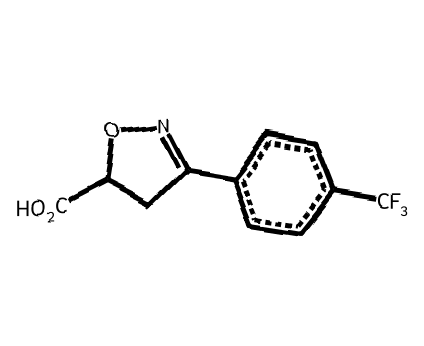 O=C(O)C1CC(c2ccc(C(F)(F)F)cc2)=NO1